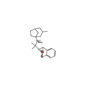 CC1CC2CCC([N+]3=C[C@]45C=NCC(C=C4C3(C)C)c3ccccc35)(C1)C2